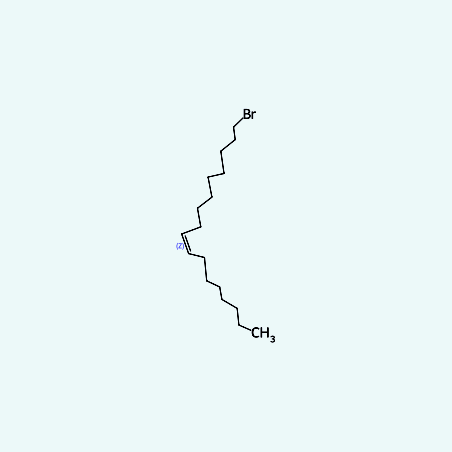 CCCCCCC/C=C\CCCCCCCCBr